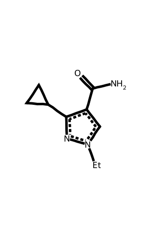 CCn1cc(C(N)=O)c(C2CC2)n1